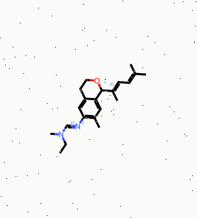 CCN(C)/C=N/c1cc2c(cc1C)C(/C(C)=C/C=C(C)C)OCC2